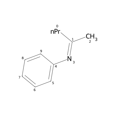 CCC/C(C)=N\c1ccccc1